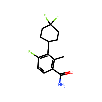 Cc1c(C(N)=O)ccc(F)c1C1CCC(F)(F)CC1